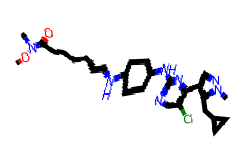 CON(C)C(=O)CCCCCCNC1CCC(Nc2ncc(Cl)c(-c3cnn(C)c3CC3CC3)n2)CC1